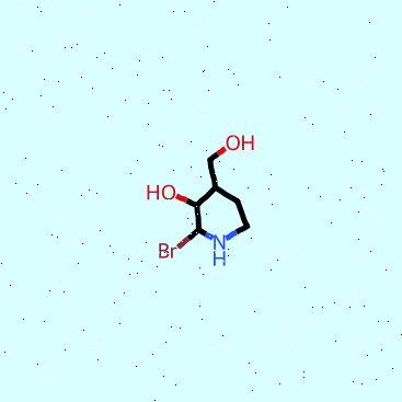 OCC1CCNC(Br)C1O